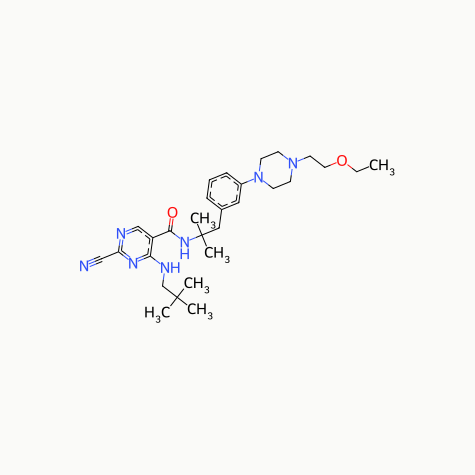 CCOCCN1CCN(c2cccc(CC(C)(C)NC(=O)c3cnc(C#N)nc3NCC(C)(C)C)c2)CC1